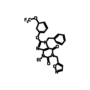 CCn1c(=O)n(Cc2ccno2)c(=O)c2c1nc(OC1=CC=CC(OC(F)(F)F)C1)n2Cc1ccccc1